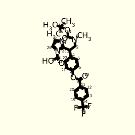 CN(CC(c1ccc(OC(=O)c2ccc(C(F)(F)F)cc2)cc1)c1nccn1C(=O)O)C(=O)OC(C)(C)C